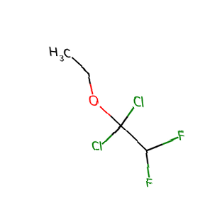 CCOC(Cl)(Cl)C(F)F